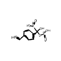 N=Cc1ccc(C(O)(O[PH](=O)O)[PH](=O)O)cc1